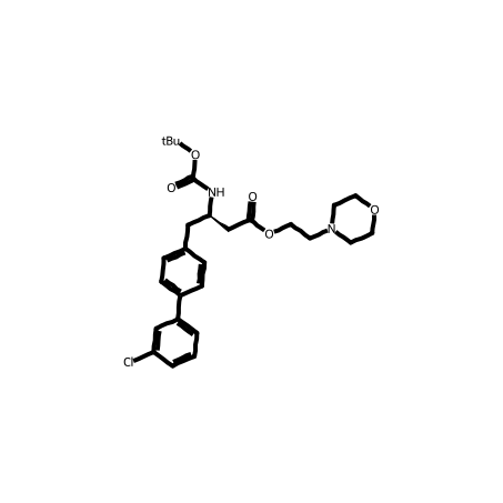 CC(C)(C)OC(=O)N[C@@H](CC(=O)OCCN1CCOCC1)Cc1ccc(-c2cccc(Cl)c2)cc1